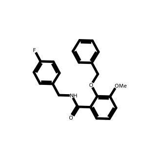 COc1cccc(C(=O)NCc2ccc(F)cc2)c1OCc1ccccc1